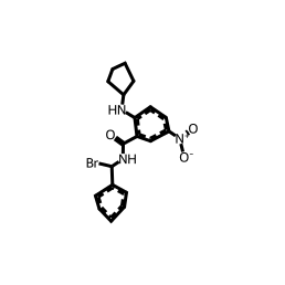 O=C(NC(Br)c1ccccc1)c1cc([N+](=O)[O-])ccc1NC1CCCC1